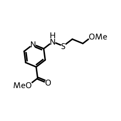 COCCSNc1cc(C(=O)OC)ccn1